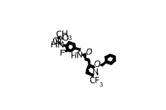 CS(=O)(=O)Nc1ccc(CNC(=O)C=Cc2ccc(C(F)(F)F)nc2OCc2ccccc2)cc1F